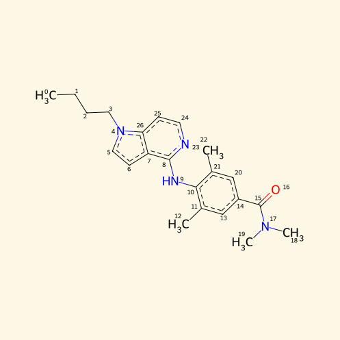 CCCCn1ccc2c(Nc3c(C)cc(C(=O)N(C)C)cc3C)nccc21